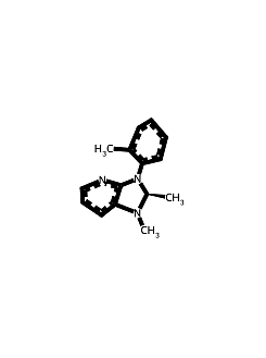 Cc1ccccc1N1c2ncccc2N(C)[C@@H]1C